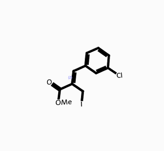 COC(=O)/C(=C/c1cccc(Cl)c1)CI